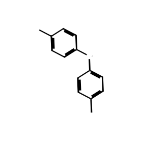 Cc1ccc([Te]c2ccc(C)cc2)cc1